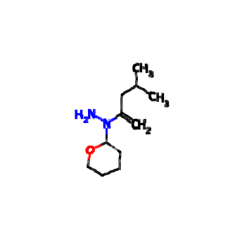 C=C(CC(C)C)N(N)C1CCCCO1